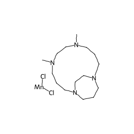 CN1CCCN2CCCN(CCCN(C)CC1)CC2.[Cl][Mn][Cl]